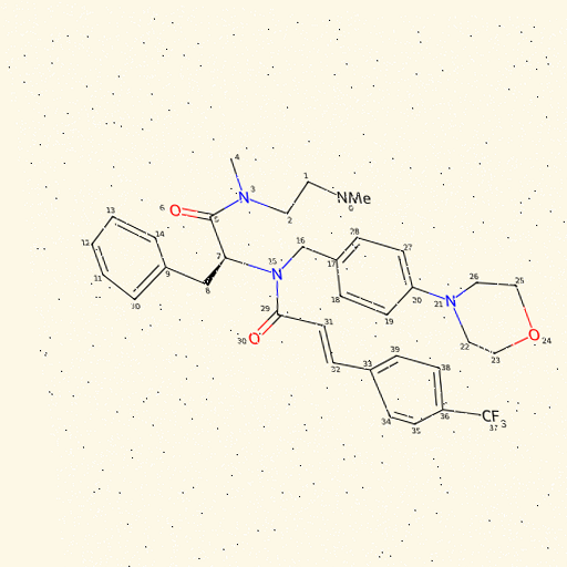 CNCCN(C)C(=O)[C@H](Cc1ccccc1)N(Cc1ccc(N2CCOCC2)cc1)C(=O)/C=C/c1ccc(C(F)(F)F)cc1